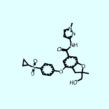 Cn1ccc(NC(=O)c2cc(Oc3ccc(S(=O)(=O)C4CC4)cc3)c3c(c2)OC(C)(CO)C3)n1